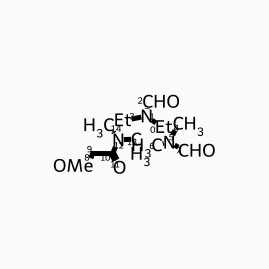 CCN(C=O)CC.CN(C)C=O.COCC(=O)N(C)C